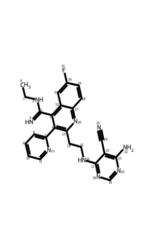 CCNC(=N)c1c(-c2ccccn2)c(CCNc2ncnc(N)c2C#N)nc2ccc(F)cc12